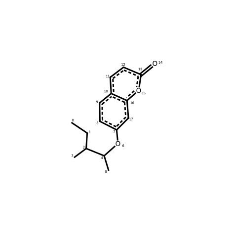 CCC(C)C(C)Oc1ccc2ccc(=O)oc2c1